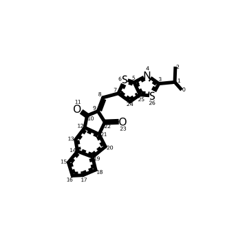 CC(C)c1nc2sc(C=C3C(=O)c4cc5ccccc5cc4C3=O)cc2s1